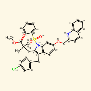 COC(=O)C(C)(C)Cc1c(Cc2ccc(Cl)cc2)c2ccc(OCc3ccc4ccccc4n3)cc2n1S(=O)(=O)c1ccccc1